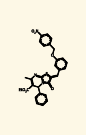 CCOC(=O)C1=C(C)N=c2s/c(=C\c3cccc(OCc4ccc([N+](=O)[O-])cc4)c3)c(=O)n2C1c1ccccc1